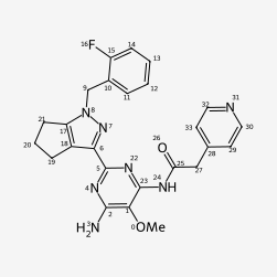 COc1c(N)nc(-c2nn(Cc3ccccc3F)c3c2CCC3)nc1NC(=O)Cc1ccncc1